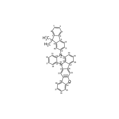 CC1(C)c2ccccc2-c2ccc(N3c4ccccc4-n4c5cc6c(cc5c5cccc3c54)oc3ccccc36)cc21